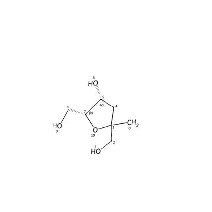 CC1(CO)C[C@@H](O)[C@@H](CO)O1